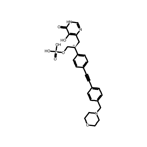 O=c1[nH]cnc(C[C@H](COP(=O)(O)O)c2ccc(C#Cc3ccc(CN4CCOCC4)cc3)cc2)c1O